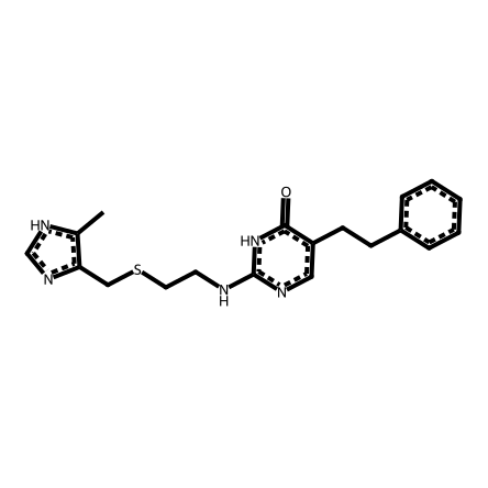 Cc1[nH]cnc1CSCCNc1ncc(CCc2ccccc2)c(=O)[nH]1